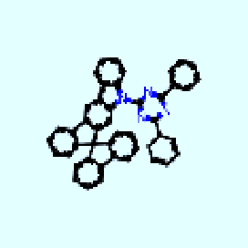 C1=CCC(c2nc(-c3ccccc3)nc(-n3c4ccccc4c4cc5c(cc43)C3(c4ccccc4-c4ccccc43)c3ccccc3-5)n2)C=C1